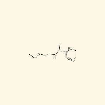 CCSCCNC(C)C1=NCCC=C1